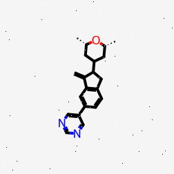 C=C1c2cc(-c3cncnc3)ccc2CC1C1C[C@@H](C)O[C@@H](C)C1